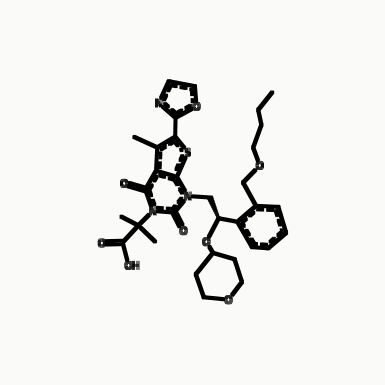 CCCCOCc1ccccc1[C@H](Cn1c(=O)n(C(C)(C)C(=O)O)c(=O)c2c(C)c(-c3ncco3)sc21)OC1CCOCC1